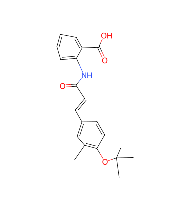 Cc1cc(/C=C/C(=O)Nc2ccccc2C(=O)O)ccc1OC(C)(C)C